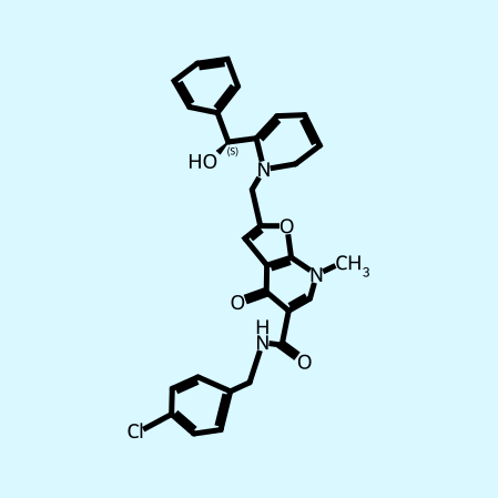 Cn1cc(C(=O)NCc2ccc(Cl)cc2)c(=O)c2cc(CN3CC=CC=C3[C@@H](O)c3ccccc3)oc21